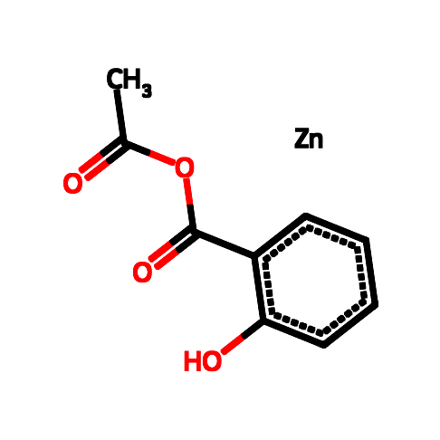 CC(=O)OC(=O)c1ccccc1O.[Zn]